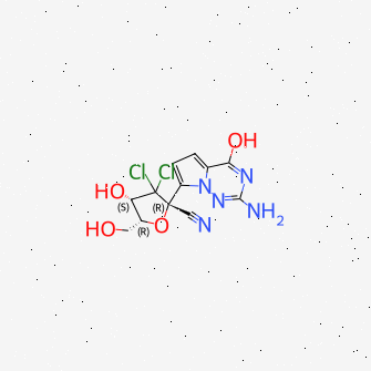 N#C[C@@]1(c2ccc3c(O)nc(N)nn23)O[C@H](CO)[C@H](O)C1(Cl)Cl